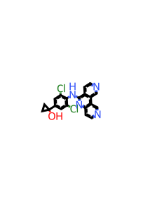 OC1(c2cc(Cl)c(Nc3nc4ccncc4c4cnccc34)c(Cl)c2)CC1